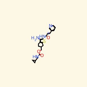 Nc1c(NC(=O)/C=C/c2cccnc2)sc2c1CCC(COC(=O)NCC1CC1)C2